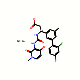 Cc1cc(-c2ccc(F)cc2F)cc([C@H](CC(=O)[O-])NC(=O)Nc2c([O-])ccn(C)c2=O)c1.[Na+].[Na+]